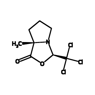 C[C@@]12CCCN1[C@@H](C(Cl)(Cl)Cl)OC2=O